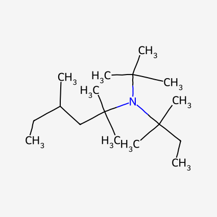 CCC(C)CC(C)(C)N(C(C)(C)C)C(C)(C)CC